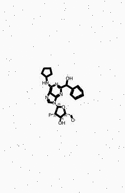 [O]C[C@H]1O[C@@H](n2cnc3c(NC4CCCC4)nc(C(O)c4ccccc4)nc32)[C@@H](F)[C@@H]1O